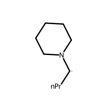 CCC[CH]N1CCCCC1